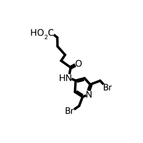 O=C(O)CCCCC(=O)Nc1cc(CBr)nc(CBr)c1